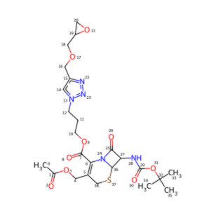 CC(=O)OCC1=C(C(=O)OCCCn2cc(COCC3CO3)nn2)N2C(=O)C(NC(=O)OC(C)(C)C)C2SC1